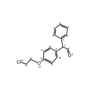 O=CC(c1ccccc1)c1ccc(OCCCl)cc1